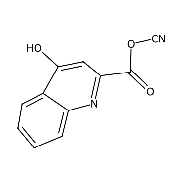 N#COC(=O)c1cc(O)c2ccccc2n1